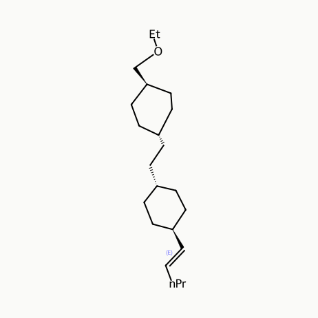 CCC/C=C/[C@H]1CC[C@H](CC[C@H]2CC[C@H](COCC)CC2)CC1